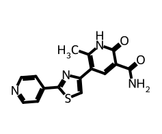 Cc1[nH]c(=O)c(C(N)=O)cc1-c1csc(-c2ccncc2)n1